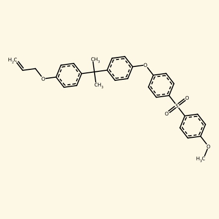 C=CCOc1ccc(C(C)(C)c2ccc(Oc3ccc(S(=O)(=O)c4ccc(OC)cc4)cc3)cc2)cc1